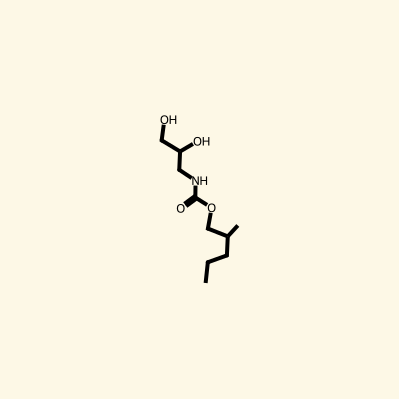 CCCC(C)COC(=O)NCC(O)CO